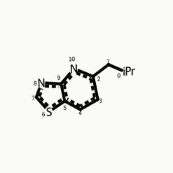 CC(C)Cc1ccc2scnc2n1